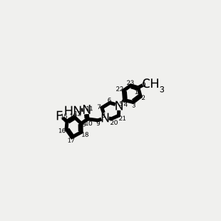 Cc1ccc(N2CCN(Cc3n[nH]c4c(F)cccc34)CC2)cc1